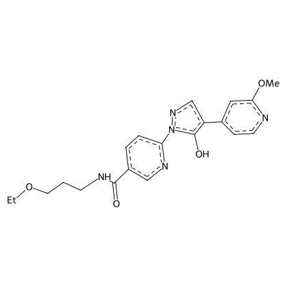 CCOCCCNC(=O)c1ccc(-n2ncc(-c3ccnc(OC)c3)c2O)nc1